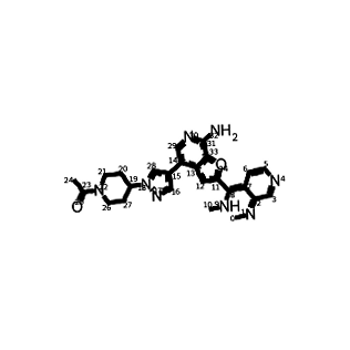 C/N=C1/C=NC=C/C1=C(/NC)c1cc2c(-c3cnn(C4CCN(C(C)=O)CC4)c3)cnc(N)c2o1